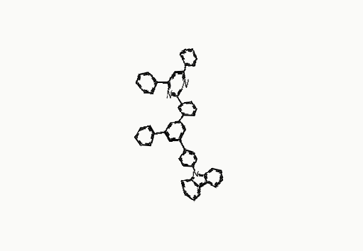 c1ccc(-c2cc(-c3ccc(-n4c5ccccc5c5ccccc54)cc3)cc(-c3cccc(-c4nc(-c5ccccc5)cc(-c5ccccc5)n4)c3)c2)cc1